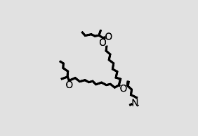 C=C(CCCN(C)C)OC(CCCCCCCCCCC(=O)C(C)CCCC)CCCCCCCCCOC(=O)C(C)CCCC